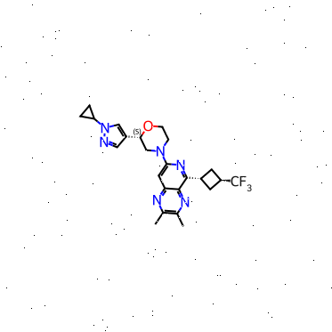 Cc1nc2cc(N3CCO[C@@H](c4cnn(C5CC5)c4)C3)nc([C@H]3C[C@H](C(F)(F)F)C3)c2nc1C